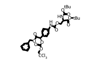 CC(C)(C)OC(=O)NC(COC(=O)Nc1ccc([C@@H](OC(=O)OCC(Cl)(Cl)Cl)C(=O)OCc2ccccc2)cc1)C(=O)OC(C)(C)C